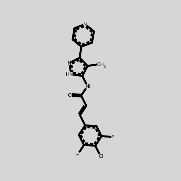 Cc1c(-c2ccncc2)n[nH]c1NC(=O)C=Cc1cc(F)c(Cl)c(F)c1